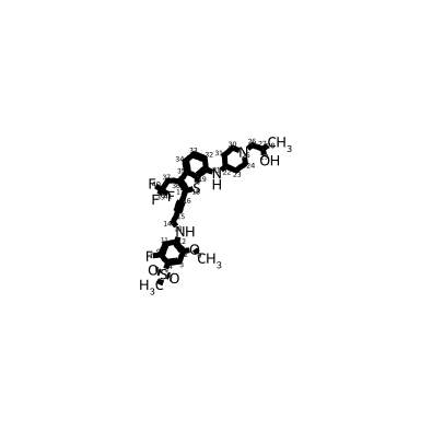 COc1cc(S(C)(=O)=O)c(F)cc1NCC#Cc1sc2c(NC3CCN(CC(C)O)CC3)cccc2c1CC(F)(F)F